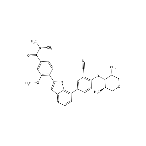 COc1cc(C(=O)N(C)C)ccc1-c1cc2nccc(-c3ccc(OC4[C@H](C)COC[C@H]4C)c(C#N)c3)c2o1